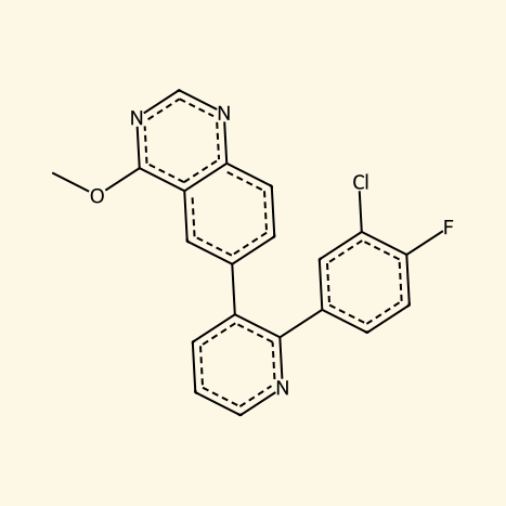 COc1ncnc2ccc(-c3cccnc3-c3ccc(F)c(Cl)c3)cc12